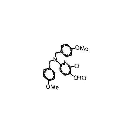 COc1ccc(CN(Cc2ccc(OC)cc2)c2ccc(C=O)c(Cl)n2)cc1